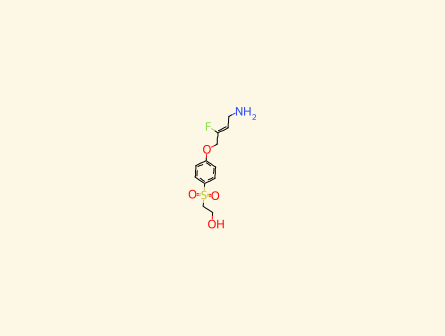 NC/C=C(\F)COc1ccc(S(=O)(=O)CCO)cc1